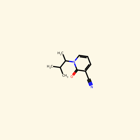 CC(C)C(C)n1cccc(C#N)c1=O